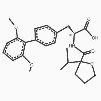 COc1cccc(OC)c1-c1ccc(C[C@H](NC(=O)C2(C(C)C)CCCO2)C(=O)O)cc1